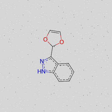 C1=CO[C](c2n[nH]c3ccccc23)O1